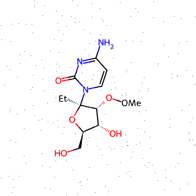 CC[C@@]1(n2ccc(N)nc2=O)O[C@H](CO)[C@@H](O)[C@H]1OOC